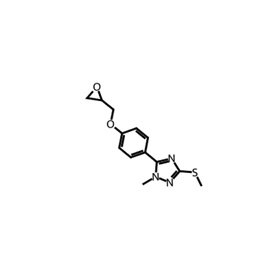 CSc1nc(-c2ccc(OCC3CO3)cc2)n(C)n1